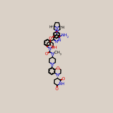 CN(C(=O)N1CCC(Oc2cccc(N3[C@@H]4CC[C@H]3CN(c3cc(-c5ccccc5O)nnc3N)C4)c2)CC1)C1CCN(c2cccc3c2OCCN3[C@H]2CCC(=O)NC2=O)CC1